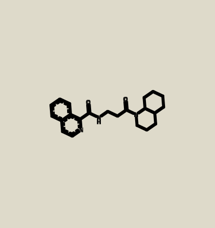 O=C(NCCC(=O)N1CCCC2CCCCC21)c1nccc2ccccc12